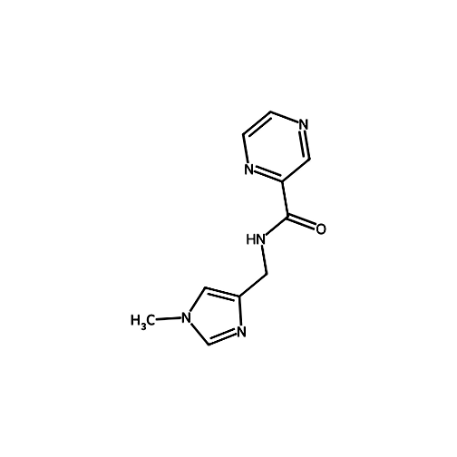 Cn1cnc(CNC(=O)c2cnccn2)c1